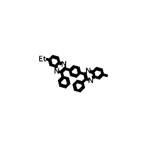 CCc1ccc2nc(-c3ccc(-c4nc5ccc(C)cc5nc4-c4ccccc4)cc3)c(-c3ccccc3)nc2c1